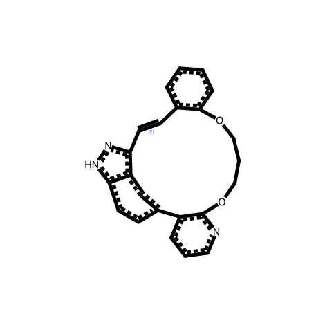 C1=C/c2n[nH]c3ccc(cc23)-c2cccnc2OCCCOc2ccccc2/1